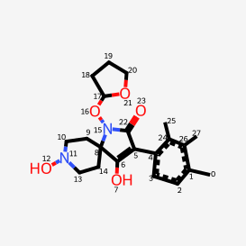 Cc1ccc(C2=C(O)C3(CCN(O)CC3)N(OC3CCCO3)C2=O)c(C)c1C